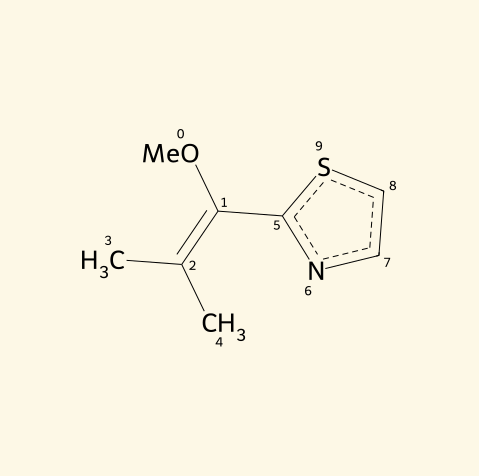 COC(=C(C)C)c1nccs1